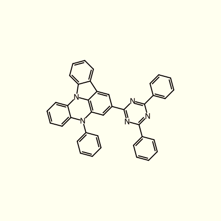 c1ccc(-c2nc(-c3ccccc3)nc(-c3cc4c5c(c3)c3ccccc3n5-c3ccccc3N4c3ccccc3)n2)cc1